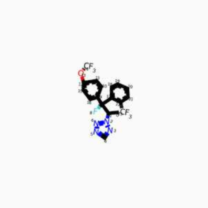 CC(n1ncnn1)C(F)(c1ccc(OC(F)(F)F)cc1)c1ccccc1C(F)(F)F